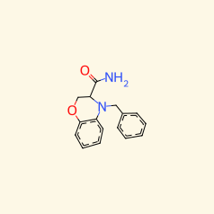 NC(=O)C1COc2ccccc2N1Cc1ccccc1